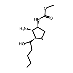 CCCCC(O)[C@@H]1SC[C@H](NC(=O)OC)[C@@H]1N